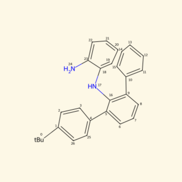 CC(C)(C)c1ccc(-c2cccc(-c3ccccc3)c2Nc2ccccc2N)cc1